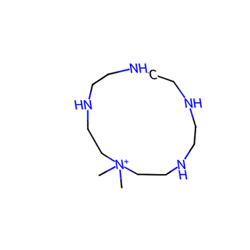 C[N+]1(C)CCNCCNCCNCCNCC1